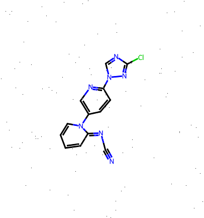 N#C/N=c1\ccccn1-c1ccc(-n2cnc(Cl)n2)nc1